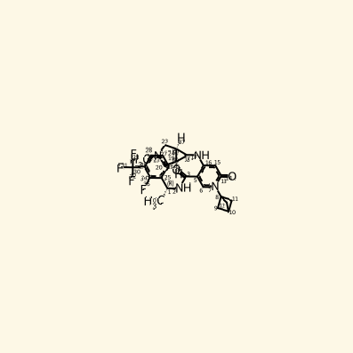 C[C@@H](NC(=O)c1cn(C23CC(C2)C3)c(=O)cc1NC1[C@H]2CN(C)C[C@@H]12)c1cccc(C(F)(F)F)c1F